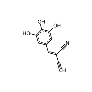 C#C/C(C#N)=C/c1cc(O)c(O)c(O)c1